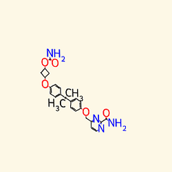 CC(C)(c1ccc(OCc2ccnc(C(N)=O)n2)cc1)c1ccc(OC2CC(OC(N)=O)C2)cc1